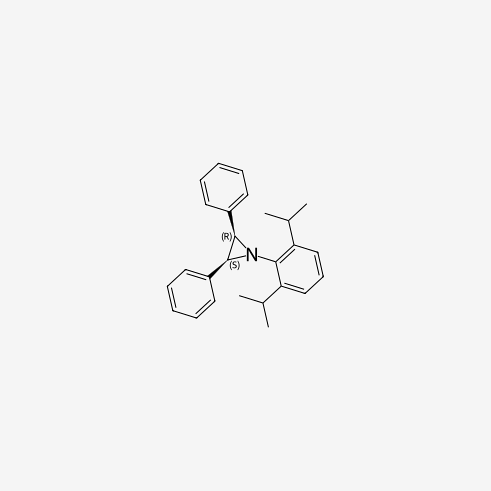 CC(C)c1cccc(C(C)C)c1N1[C@H](c2ccccc2)[C@@H]1c1ccccc1